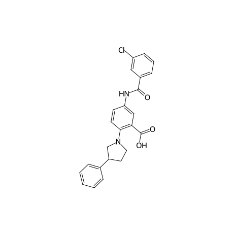 O=C(Nc1ccc(N2CCC(c3ccccc3)C2)c(C(=O)O)c1)c1cccc(Cl)c1